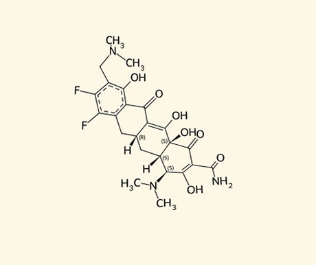 CN(C)Cc1c(O)c2c(c(F)c1F)C[C@H]1C[C@H]3[C@H](N(C)C)C(O)=C(C(N)=O)C(=O)[C@@]3(O)C(O)=C1C2=O